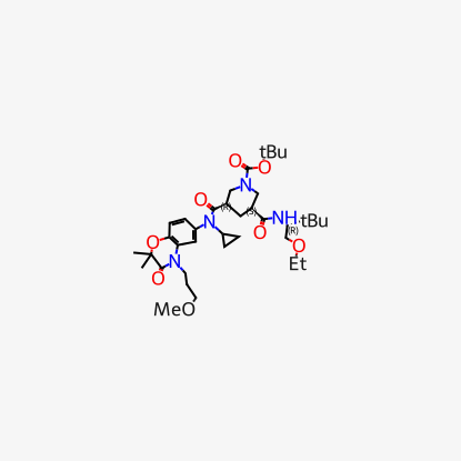 CCOC[C@H](NC(=O)[C@H]1C[C@@H](C(=O)N(c2ccc3c(c2)N(CCCOC)C(=O)C(C)(C)O3)C2CC2)CN(C(=O)OC(C)(C)C)C1)C(C)(C)C